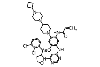 C=CC(=O)Nc1cc(Nc2cc(N3OCCC3Cc3cccc(Cl)c3Cl)ncn2)c(OC)cc1N1CCC(N2CCN(C3CCC3)CC2)CC1